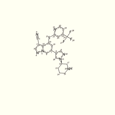 N#Cc1cnn2cc(-c3cnn([C@@H]4CCCNC4)c3)cc(Sc3cc(C(F)(F)F)ccn3)c12